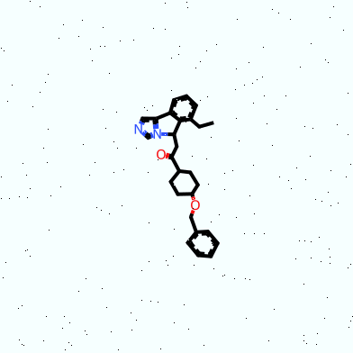 CCc1cccc2c1C(CC(=O)C1CCC(OCc3ccccc3)CC1)n1cncc1-2